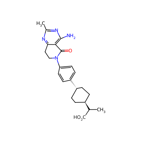 Cc1nc(N)c2c(n1)CCN(c1ccc([C@H]3CC[C@H](C(C)C(=O)O)CC3)cc1)C2=O